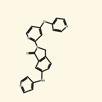 O=C1c2cc(Nc3ccncc3)ccc2CN1c1cc(Oc2ccncc2)ccn1